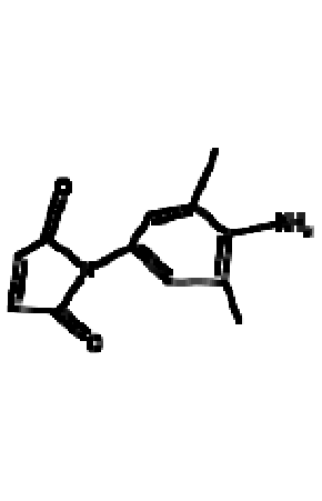 Cc1cc(N2C(=O)C=CC2=O)cc(C)c1N